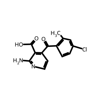 Cc1cc(Cl)ccc1C(=O)c1ccnc(N)c1C(=O)O